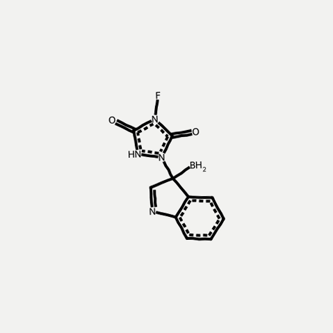 BC1(n2[nH]c(=O)n(F)c2=O)C=Nc2ccccc21